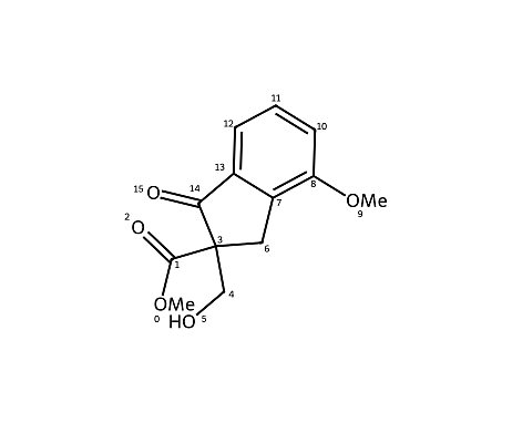 COC(=O)C1(CO)Cc2c(OC)cccc2C1=O